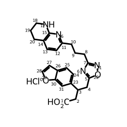 Cl.O=C(O)CC(Cc1nc(CCCc2ccc3c(n2)NCCC3)no1)c1ccc2ccoc2c1